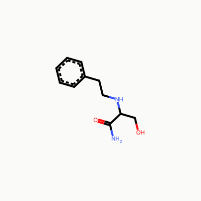 NC(=O)C(CO)NCCc1ccccc1